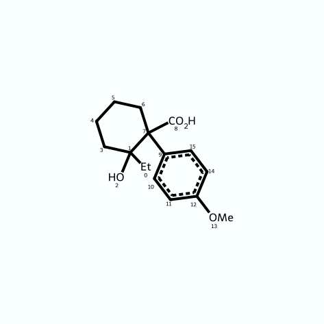 CCC1(O)CCCCC1(C(=O)O)c1ccc(OC)cc1